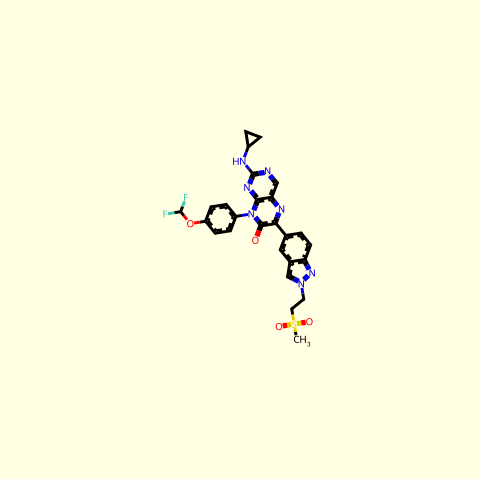 CS(=O)(=O)CCn1cc2cc(-c3nc4cnc(NC5CC5)nc4n(-c4ccc(OC(F)F)cc4)c3=O)ccc2n1